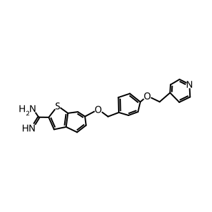 N=C(N)c1cc2ccc(OCc3ccc(OCc4ccncc4)cc3)cc2s1